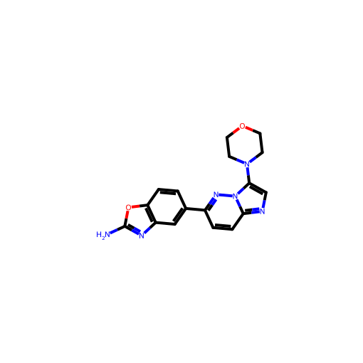 Nc1nc2cc(-c3ccc4ncc(N5CCOCC5)n4n3)ccc2o1